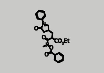 CCOC(=O)C(CC1CC(=O)N(c2ccccc2)C1)C(=O)N(C)OC(=O)c1ccccc1